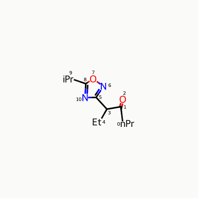 CCCC(=O)C(CC)c1noc(C(C)C)n1